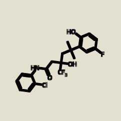 CC(C)(CC(O)(CC(=O)Nc1ccccc1Cl)C(F)(F)F)c1cc(F)ccc1O